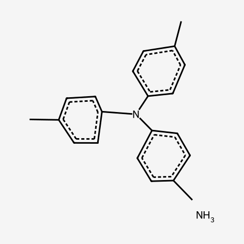 Cc1ccc(N(c2ccc(C)cc2)c2ccc(C)cc2)cc1.N